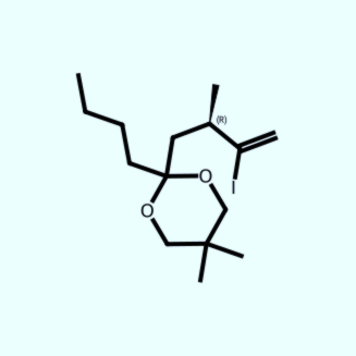 C=C(I)[C@H](C)CC1(CCCC)OCC(C)(C)CO1